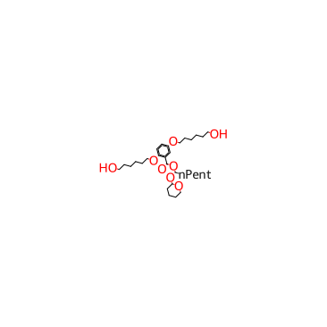 CCCCCC(OC(=O)c1cc(OCCCCCCO)ccc1OCCCCCCO)OC1CCCCO1